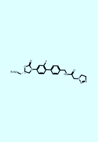 CC(=O)NC[C@H]1CN(c2ccc(-c3ccc(CNC(=O)CN4CCN=N4)cc3)c(F)c2)C(=O)O1